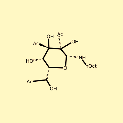 CCCCCCCCN[C@@H]1O[C@H](C(O)C(C)=O)[C@H](O)[C@@](O)(C(C)=O)[C@]1(O)C(C)=O